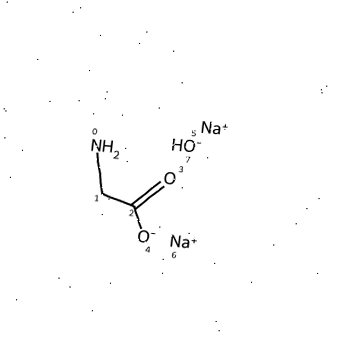 NCC(=O)[O-].[Na+].[Na+].[OH-]